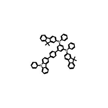 CC1(C)c2ccccc2-c2ccc(N(c3ccccc3)c3cc(-c4ccc(-c5ccc6c(c5)c5ccccc5n6-c5ccccc5)cc4)cc(N(c4ccccc4)c4ccc5c(c4)C(C)(C)c4ccccc4-5)c3)cc21